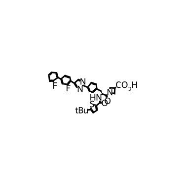 CC(C)(C)c1ccc(C(=O)N[C@@H](Cc2ccc(-c3ncc(-c4ccc(-c5ccccc5F)cc4F)cn3)cc2)C(=O)N2CC(C(=O)O)C2)s1